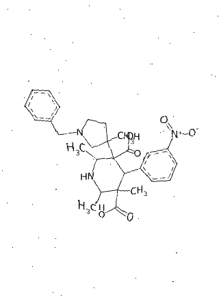 CC1NC(C)C(C(=O)O)(C2(C)CCN(Cc3ccccc3)C2)C(c2cccc([N+](=O)[O-])c2)C1(C)C(=O)O